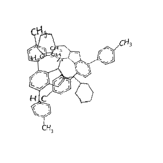 Cc1ccc(-c2ccc(-c3ccc(C)cc3)c3c2C=C(CC2CCCCC2)[CH]3[Zr]([CH]2C(CC3CCCCC3)=Cc3c(-c4ccc(C)cc4)ccc(-c4ccc(C)cc4)c32)[SiH](C)C)cc1